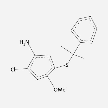 COc1cc(Cl)c(N)cc1SC(C)(C)c1ccccc1